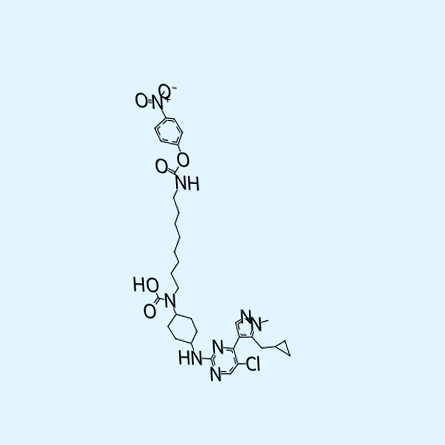 Cn1ncc(-c2nc(NC3CCC(N(CCCCCCCCNC(=O)Oc4ccc([N+](=O)[O-])cc4)C(=O)O)CC3)ncc2Cl)c1CC1CC1